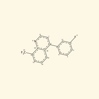 Fc1cccc(-c2[c]cnc3c(C(F)(F)F)cccc23)c1